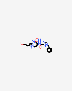 CN1C(=O)C(NC(=O)c2ncn(Cc3ccccc3)n2)CCn2nc(CCC=O)cc21